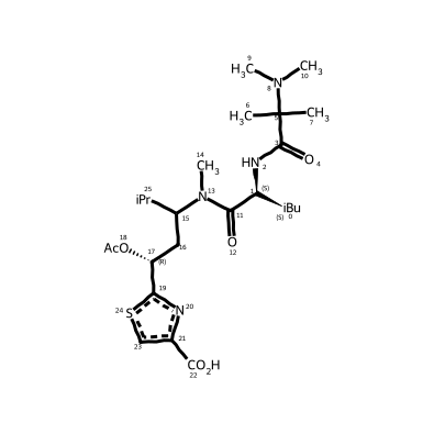 CC[C@H](C)[C@H](NC(=O)C(C)(C)N(C)C)C(=O)N(C)C(C[C@@H](OC(C)=O)c1nc(C(=O)O)cs1)C(C)C